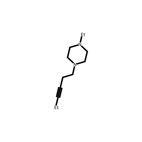 CCC#CCCN1CCN(CC)CC1